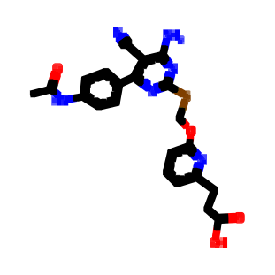 CC(=O)Nc1ccc(-c2nc(SCOc3cccc(CCC(=O)O)n3)nc(N)c2C#N)cc1